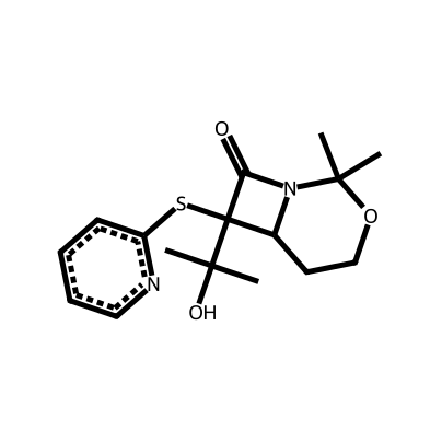 CC1(C)OCCC2N1C(=O)C2(Sc1ccccn1)C(C)(C)O